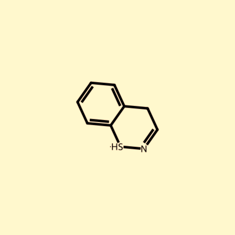 C1=N[SH]c2ccccc2C1